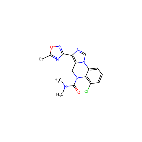 CCc1nc(-c2ncn3c2CN(C(=O)N(C)C)c2c(Cl)cccc2-3)no1